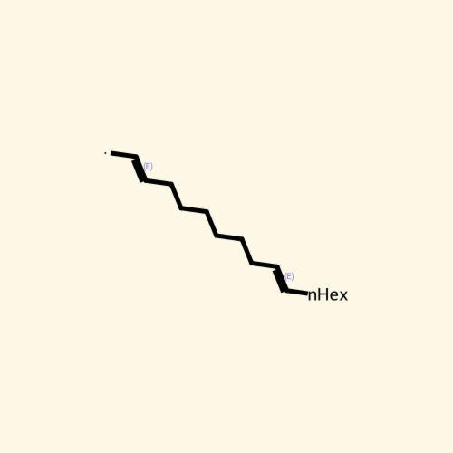 [CH2]/C=C/CCCCCC/C=C/CCCCCC